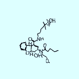 CCCCC(=O)N(CCOC)[C@@H]1C=C(C(=O)NCCCC(C)(C)[Si](C)(C)O)[C@@H]2c3ccccc3O[C@@H]2[C@H]1O